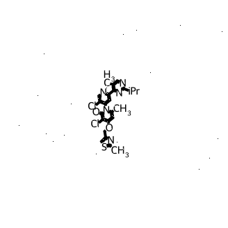 Cc1nc(COc2cc(C)n(-c3cc(-c4nc(C(C)C)ncc4C)ncc3Cl)c(=O)c2Cl)cs1